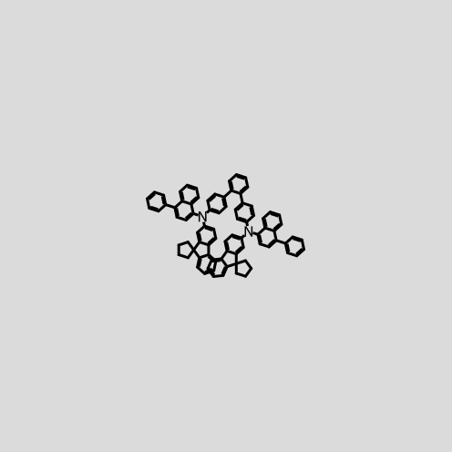 c1ccc(-c2ccc(N(c3ccc(-c4ccccc4-c4ccc(N(c5ccc6c(c5)C5(CCCC5)c5ccccc5-6)c5ccc(-c6ccccc6)c6ccccc56)cc4)cc3)c3ccc4c(c3)C3(CCCC3)c3ccccc3-4)c3ccccc23)cc1